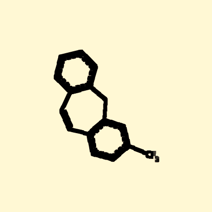 FC(F)(F)c1ccc2c(c1)Cc1ccccc1C=C2